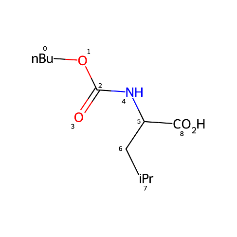 CCCCOC(=O)NC(CC(C)C)C(=O)O